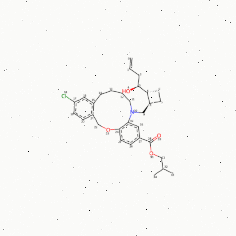 C=CC[C@H](O)[C@@H]1CC[C@H]1CN1CCCCc2cc(Cl)ccc2COc2ccc(C(=O)OCC(C)C)cc21